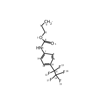 [CH2]CCOC(=O)Nc1ccc(C(F)(F)C(F)(F)F)cc1